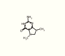 CN1CN(C)c2c1nc(N)[nH]c2=O